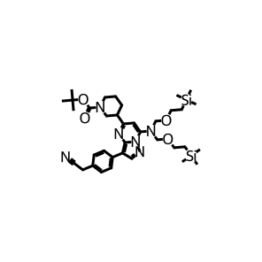 CC(C)(C)OC(=O)N1CCCC(c2cc(N(COCC[Si](C)(C)C)COCC[Si](C)(C)C)n3ncc(-c4ccc(CC#N)cc4)c3n2)C1